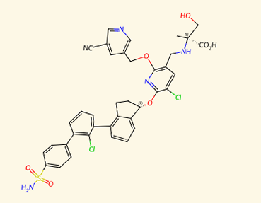 C[C@@](CO)(NCc1cc(Cl)c(O[C@H]2CCc3c(-c4cccc(-c5ccc(S(N)(=O)=O)cc5)c4Cl)cccc32)nc1OCc1cncc(C#N)c1)C(=O)O